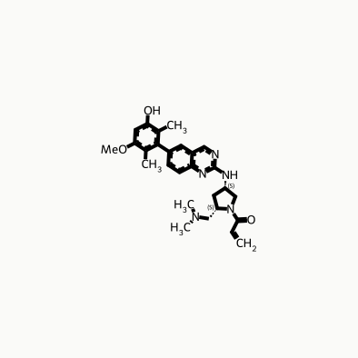 C=CC(=O)N1C[C@@H](Nc2ncc3cc(-c4c(C)c(O)cc(OC)c4C)ccc3n2)C[C@H]1CN(C)C